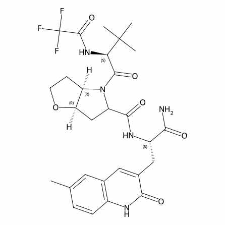 Cc1ccc2[nH]c(=O)c(C[C@H](NC(=O)C3C[C@H]4OCC[C@H]4N3C(=O)[C@@H](NC(=O)C(F)(F)F)C(C)(C)C)C(N)=O)cc2c1